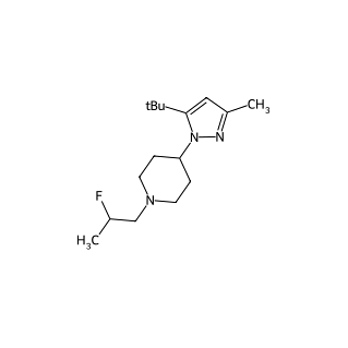 Cc1cc(C(C)(C)C)n(C2CCN(CC(C)F)CC2)n1